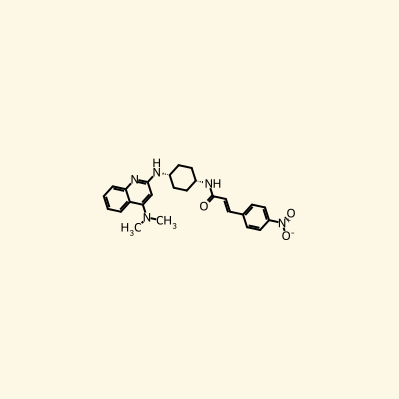 CN(C)c1cc(N[C@H]2CC[C@@H](NC(=O)C=Cc3ccc([N+](=O)[O-])cc3)CC2)nc2ccccc12